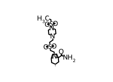 CCS(=O)(=O)N1CCN(CCS(=O)(=O)CCN2C3C[CH]CC2(C(N)=O)CC3)CC1